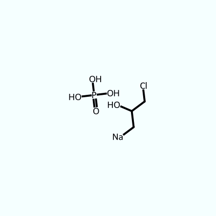 O=P(O)(O)O.OC([CH2][Na])CCl